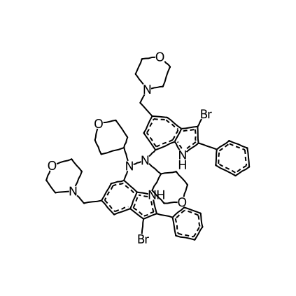 Brc1c(-c2ccccc2)[nH]c2c(N(C3CCOCC3)N(c3cc(CN4CCOCC4)cc4c(Br)c(-c5ccccc5)[nH]c34)C3CCOCC3)cc(CN3CCOCC3)cc12